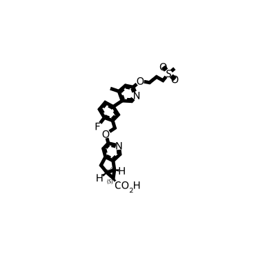 Cc1cc(OCCCS(C)(=O)=O)ncc1-c1ccc(F)c(COc2cc3c(cn2)[C@H]2[C@@H](C3)[C@@H]2C(=O)O)c1